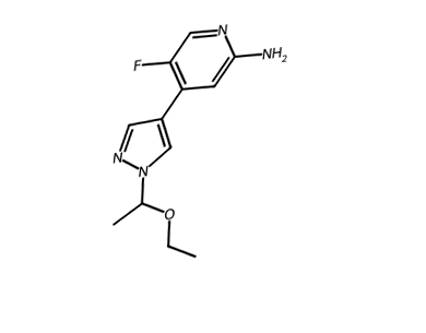 CCOC(C)n1cc(-c2cc(N)ncc2F)cn1